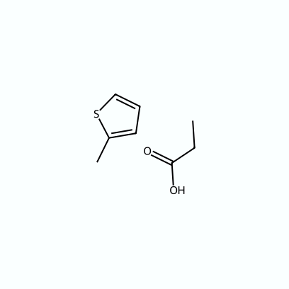 CCC(=O)O.Cc1cccs1